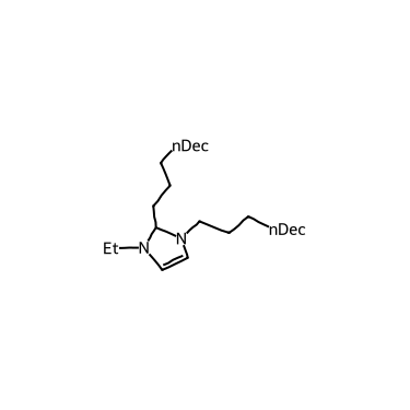 CCCCCCCCCCCCCC1N(CC)C=CN1CCCCCCCCCCCCC